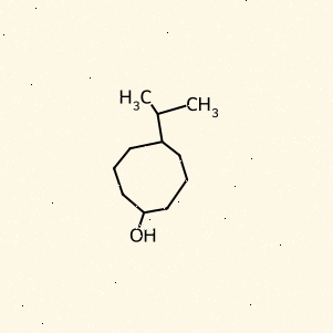 CC(C)C1CCCC(O)CCC1